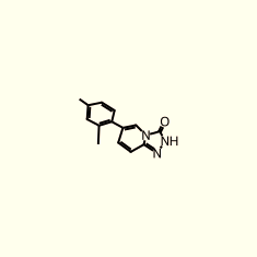 Cc1ccc(-c2ccc3n[nH]c(=O)n3c2)c(C)c1